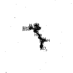 CCC(C)(C)C(=O)C(=O)N1CCCC[C@H]1C(=O)O[C@H](CCc1ccc(OC)c(OC)c1)c1cccc(OCCNC(=O)c2cccc(NC(=O)[C@@H]3C[C@H](S)CN3C(=O)OCc3ccc([N+](=O)[O-])cc3)c2)c1